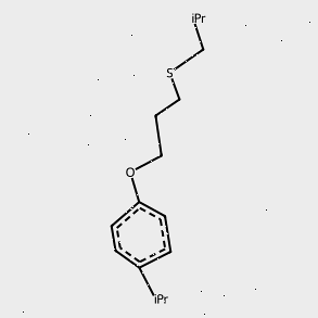 CC(C)CSCCCOc1ccc(C(C)C)cc1